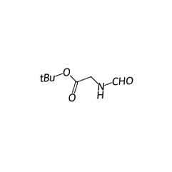 CC(C)(C)OC(=O)CNC=O